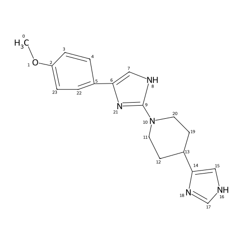 COc1ccc(-c2c[nH]c(N3CCC(c4c[nH]cn4)CC3)n2)cc1